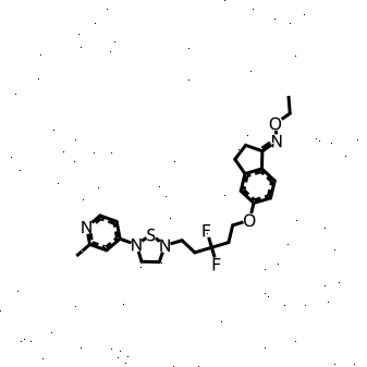 CCO/N=C1\CCc2cc(OCCC(F)(F)CCN3CCN(c4ccnc(C)c4)S3)ccc21